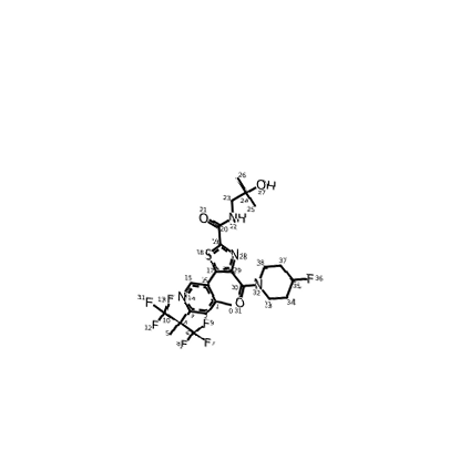 Cc1cc(C(C)(C(F)(F)F)C(F)(F)F)ncc1-c1sc(C(=O)NCC(C)(C)O)nc1C(=O)N1CCC(F)CC1